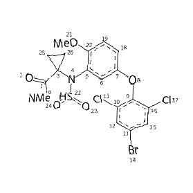 CNC(=O)C1(N(c2cc(Oc3c(Cl)cc(Br)cc3Cl)ccc2OC)[SH](=O)=O)CC1